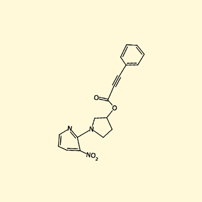 O=C(C#Cc1ccccc1)OC1CCN(c2ncccc2[N+](=O)[O-])C1